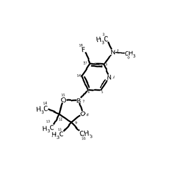 CN(C)c1ncc(B2OC(C)(C)C(C)(C)O2)cc1F